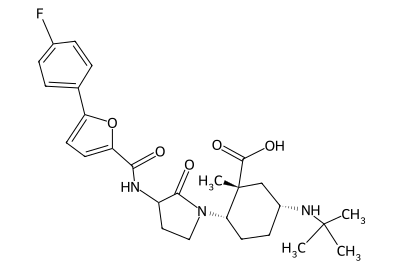 CC(C)(C)N[C@@H]1CC[C@H](N2CCC(NC(=O)c3ccc(-c4ccc(F)cc4)o3)C2=O)[C@](C)(C(=O)O)C1